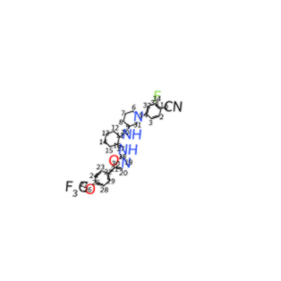 N#Cc1ccc(N2CCC[C@H](N[C@@H]3CCCC[C@H]3Nc3ncc(-c4ccc(OC(F)(F)F)cc4)o3)C2)cc1F